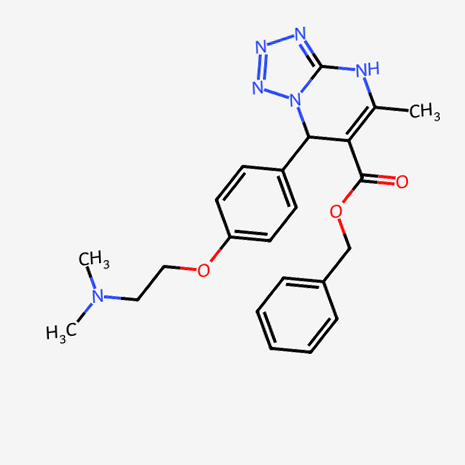 CC1=C(C(=O)OCc2ccccc2)C(c2ccc(OCCN(C)C)cc2)n2nnnc2N1